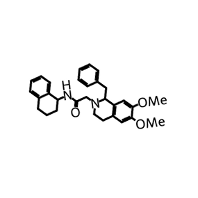 COc1cc2c(cc1OC)C(Cc1ccccc1)N(CC(=O)NC1CCCc3ccccc31)CC2